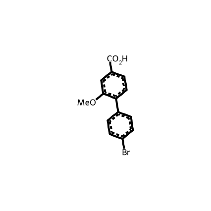 COc1cc(C(=O)O)ccc1-c1ccc(Br)cc1